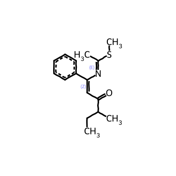 CCC(C)C(=O)/C=C(\N=C(/C)SC)c1ccccc1